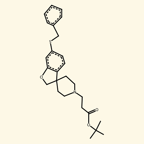 CC(C)(C)OC(=O)CCN1CCC2(CC1)COc1cc(SCc3ccccc3)ccc12